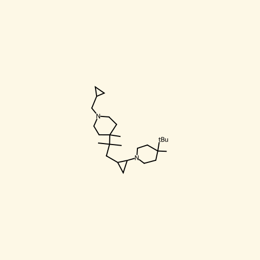 CC(C)(C)C1(C)CCN(C2CC2CC(C)(C)C2(C)CCN(CC3CC3)CC2)CC1